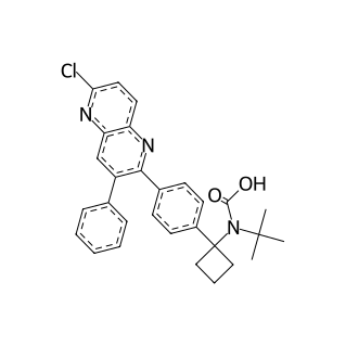 CC(C)(C)N(C(=O)O)C1(c2ccc(-c3nc4ccc(Cl)nc4cc3-c3ccccc3)cc2)CCC1